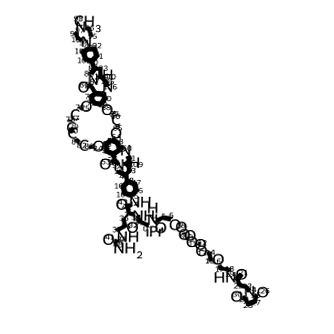 CC(C)[C@H](NC(=O)/C=C\OOOOOOOCCOCCNC(=O)CCN1C(=O)C=CC1=O)C(=O)N[C@@H](CCCNC(N)=O)C(=O)Nc1ccc(C2=CN3C(=O)c4cc5c(cc4N=C[C@@H]3C2)OCCCOc2cc3c(cc2OCCCCCCCCO5)C(=O)N2C=C(c4ccc(N5CCN(C)CC5)cc4)C[C@H]2C=N3)cc1